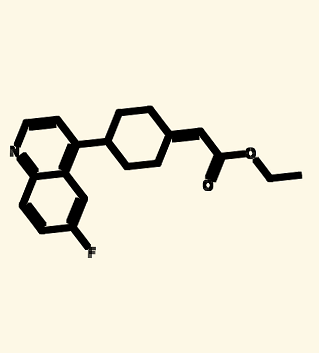 CCOC(=O)C=C1CCC(c2ccnc3ccc(F)cc23)CC1